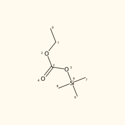 CCOC(=O)O[Si](C)(C)C